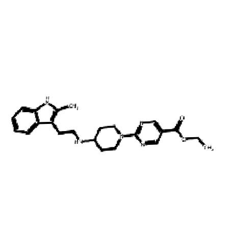 CCOC(=O)c1cnc(N2CCC(NCCc3c(C)[nH]c4ccccc34)CC2)nc1